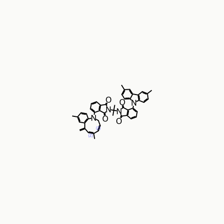 C=C1/C=C(C)\C=C/CN(c2cccc3c2C(=O)N(C(C)(C)N2C(=O)c4cccc(-n5c6ccc(C)cc6c6cc(C)ccc65)c4C2=O)C3=O)c2ccc(C)cc21